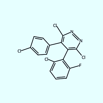 Fc1cccc(Cl)c1-c1c(Cl)nnc(Cl)c1-c1ccc(Cl)cc1